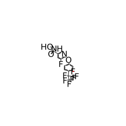 O=C(NO)c1cnc(Oc2ccc(C(F)(C(F)(F)F)C(F)(F)F)cc2)c(F)c1